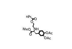 CCCC(=O)OCCN[C@@H](Cc1ccc(OC(C)=O)c(OC(C)=O)c1)C(=O)OC